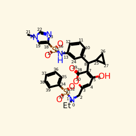 CCN(Cc1cc(O)c(C(c2cccc(NS(=O)(=O)c3cn(C)cn3)c2)C2CC2)c(=O)o1)S(=O)(=O)c1ccccc1